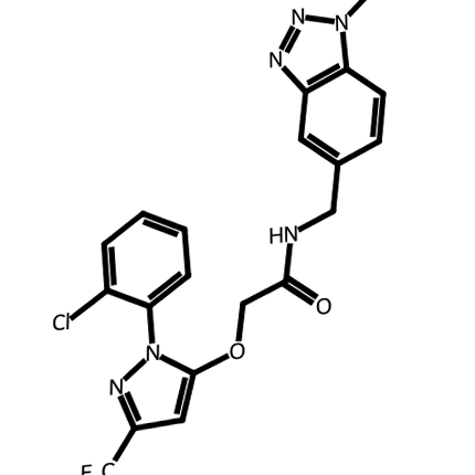 Cn1nnc2cc(CNC(=O)COc3cc(C(F)(F)F)nn3-c3ccccc3Cl)ccc21